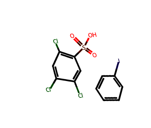 Ic1ccccc1.O=S(=O)(O)c1cc(Cl)c(Cl)cc1Cl